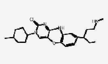 CCC(CCNC)c1ccc2c(c1)Nc1nc(=O)n(C3CCC(C)CC3)cc1O2